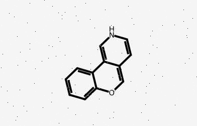 C1=CC2=COc3ccccc3C2=CN1